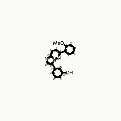 COc1ccccc1-c1ccc2ncc(-c3cccc(O)c3)n2n1